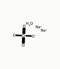 O.[Na+].[Na+].[O]=[Cr](=[O])([O-])[O-]